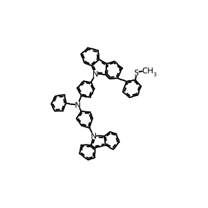 CSc1ccccc1-c1ccc2c3ccccc3n(-c3ccc(N(c4ccccc4)c4ccc(-n5c6ccccc6c6ccccc65)cc4)cc3)c2c1